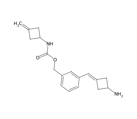 C=C1CC(NC(=O)OCc2cccc(C=C3CC(N)C3)c2)C1